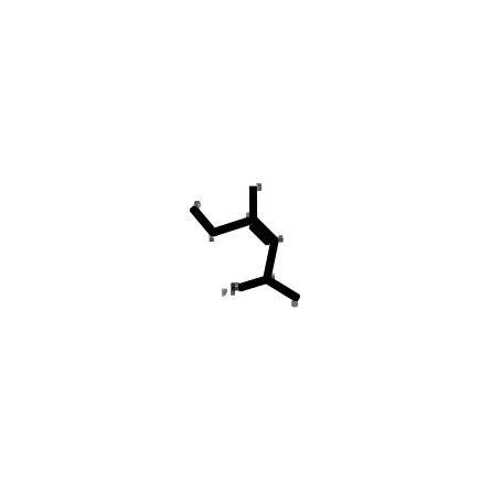 CC/C(C)=C\C(C)F